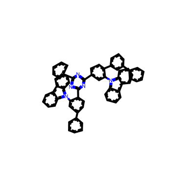 c1ccc(-c2cccc(-c3ccc(-c4nc(-c5ccccc5)nc(-c5ccc(-c6ccccc6)cc5-n5c6ccccc6c6ccccc65)n4)cc3-n3c4ccccc4c4ccccc43)c2)cc1